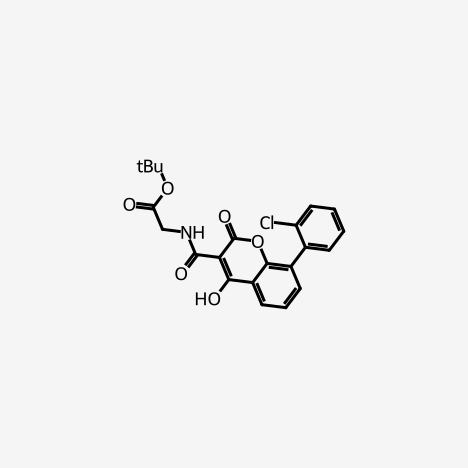 CC(C)(C)OC(=O)CNC(=O)c1c(O)c2cccc(-c3ccccc3Cl)c2oc1=O